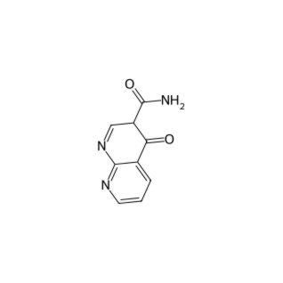 NC(=O)C1C=Nc2ncccc2C1=O